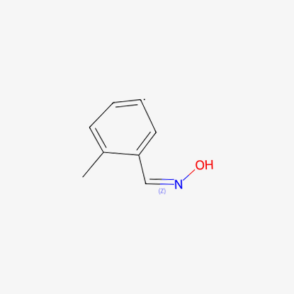 Cc1cc[c]cc1/C=N\O